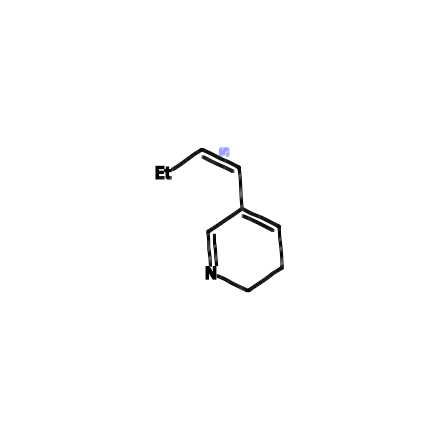 CC/C=C\C1=CCCN=C1